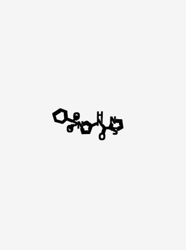 O=C(Nc1ccn(S(=O)(=O)C2=CC=CCC2)c1)c1nccs1